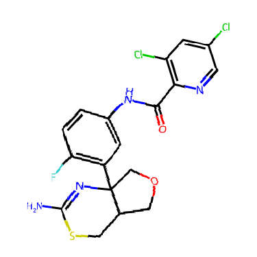 NC1=NC2(c3cc(NC(=O)c4ncc(Cl)cc4Cl)ccc3F)COCC2CS1